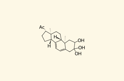 CC(=O)[C@H]1CC[C@H]2C3=CC=C4CC(O)(O)C(O)C[C@]4(C)[C@H]3CC[C@]12C